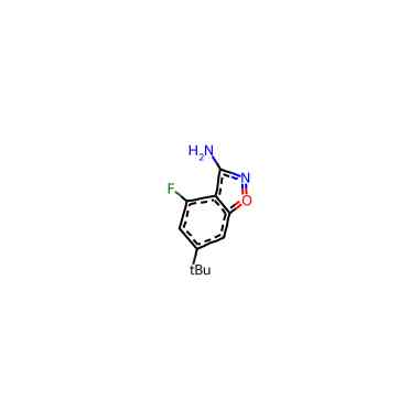 CC(C)(C)c1cc(F)c2c(N)noc2c1